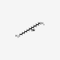 CCCCCCCCCCC(CCCCCCCC)OBr